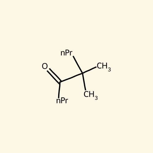 CCCC(=O)C(C)(C)CCC